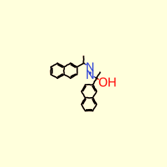 CC(N=NC(C)(O)c1ccc2ccccc2c1)c1ccc2ccccc2c1